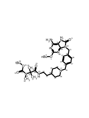 CCCCOc1nc(N)c2[nH]c(=O)n(Cc3ccc(CN4CCC(CCNC(=O)C(C)(C)N(C)C(=O)OC(C)(C)C)CC4)cc3)c2n1